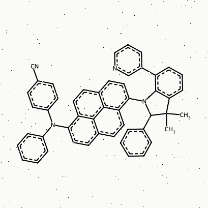 CC1(C)c2cccc(-c3cccnc3)c2N(c2ccc3ccc4c(N(c5ccccc5)c5ccc(C#N)cc5)ccc5ccc2c3c54)C1c1ccccc1